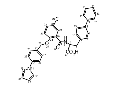 O=C(N[C@@H](Cc1ccc(-c2ccccc2)cc1)C(=O)O)c1cc(Cl)ccc1OCc1ccc(-n2cccn2)cc1